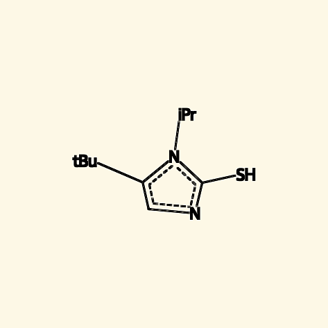 CC(C)n1c(C(C)(C)C)cnc1S